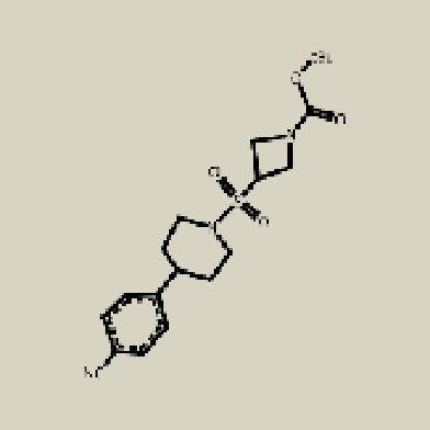 CC(C)(C)OC(=O)N1CC(S(=O)(=O)N2CCC(c3ccc(C#N)cc3)CC2)C1